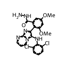 COc1cc(OC)c(-c2nc3ncccn3c2Nc2c(Cl)cccc2Cl)c(C(=O)NN)c1